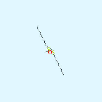 CCCCCCCCCCCCCCCCSC(CC)OC(CC)SCCCCCCCCCCCCCCCC